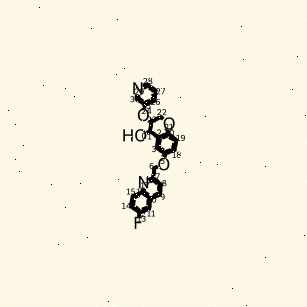 OC1c2cc(OCc3ccc4cc(F)ccc4n3)ccc2OCC1Oc1cccnc1